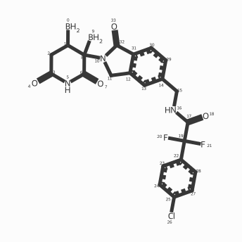 BC1CC(=O)NC(=O)C1(B)N1Cc2cc(CNC(=O)C(F)(F)c3ccc(Cl)cc3)ccc2C1=O